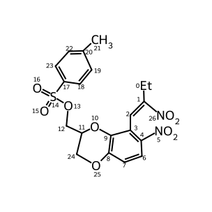 CCC(=Cc1c([N+](=O)[O-])ccc2c1OC(COS(=O)(=O)c1ccc(C)cc1)CO2)[N+](=O)[O-]